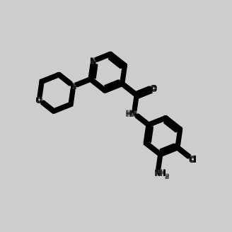 Nc1cc(NC(=O)c2ccnc(N3CCOCC3)c2)ccc1Cl